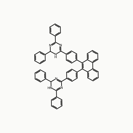 c1ccc(C2=NC(c3ccccc3)NC(c3ccc(-c4c(-c5ccc(C6=NC(c7ccccc7)NC(c7ccccc7)=N6)cc5)c5ccccc5c5ccccc45)cc3)=N2)cc1